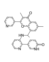 Cc1cc(C(C)Nc2cccnc2-c2ccc(=O)[nH]c2)c2oc(-c3cccnc3)c(C)c(=O)c2c1